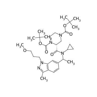 COCCCn1nc(C)c2ccc(C(C)N(C(=O)[C@H]3CN(C(=O)OC(C)(C)C)CCN3C(=O)OC(C)(C)C)C3CC3)cc21